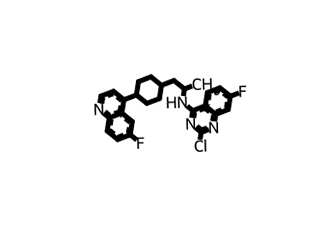 CC(CC1CCC(c2ccnc3ccc(F)cc23)CC1)Nc1nc(Cl)nc2cc(F)ccc12